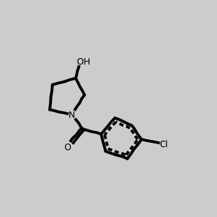 O=C(c1ccc(Cl)cc1)N1CCC(O)C1